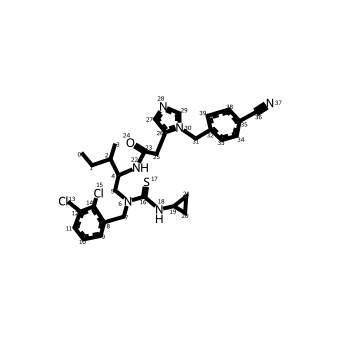 CCC(C)C(CN(Cc1cccc(Cl)c1Cl)C(=S)NC1CC1)NC(=O)Cc1cncn1Cc1ccc(C#N)cc1